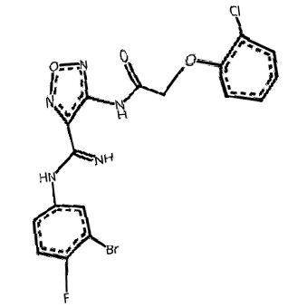 N=C(Nc1ccc(F)c(Br)c1)c1nonc1NC(=O)COc1ccccc1Cl